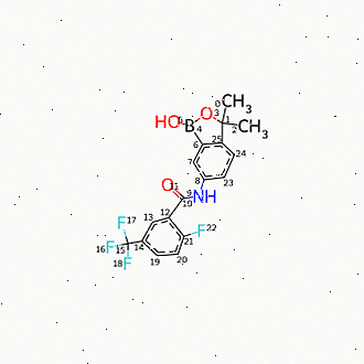 CC1(C)OB(O)c2cc(NC(=O)c3cc(C(F)(F)F)ccc3F)ccc21